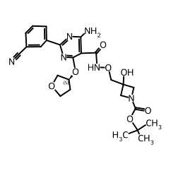 CC(C)(C)OC(=O)N1CC(O)(CONC(=O)c2c(N)nc(-c3cccc(C#N)c3)nc2O[C@H]2CCOC2)C1